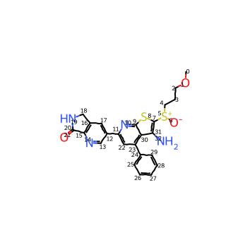 COCCC[S+]([O-])c1sc2nc(-c3cnc4c(c3)CNC4=O)cc(-c3ccccc3)c2c1N